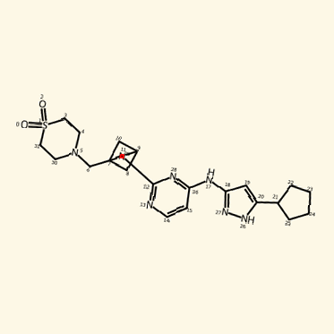 O=S1(=O)CCN(CC23CC(C2)N(c2nccc(Nc4cc(C5CCCC5)[nH]n4)n2)C3)CC1